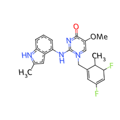 COc1cn(CC2=CC(F)=CC(F)C2C)c(Nc2cccc3[nH]c(C)cc23)nc1=O